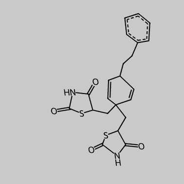 O=C1NC(=O)C(CC2(CC3SC(=O)NC3=O)C=CC(CCc3ccccc3)C=C2)S1